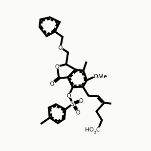 COc1c(C)c2c(c(OS(=O)(=O)c3ccc(C)cc3)c1CC=C(C)CCC(=O)O)C(=O)OC2COCc1ccccc1